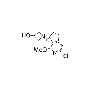 COc1nc(Cl)cc2c1[C@H](N1CC(O)C1)CC2